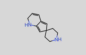 C1=CC2=CC3(C=C2NC1)CCNCC3